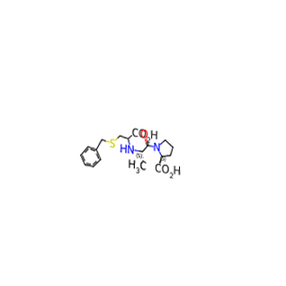 C[C@H](NC(CSCc1ccccc1)C(=O)O)C(=O)N1CCC[C@H]1C(=O)O